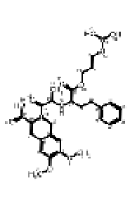 COc1cc2c(cc1OC)CN(C(=O)C(C)NC(CCc1ccccc1)C(=O)OCCCON(O)O)C(C(=O)O)C2